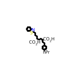 CCCc1ccc(CC[C@H](CC(CCCCc2nc3ccccc3s2)C(=O)O)C(=O)O)cc1